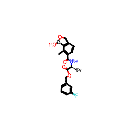 Cc1c(C(=O)N[C@H](C(=O)OCc2cccc(F)c2)C(C)C)ccc2c1B(O)OC2